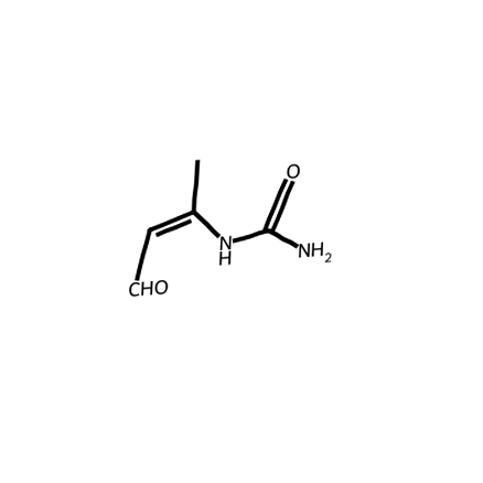 CC(=CC=O)NC(N)=O